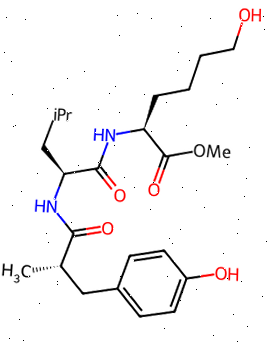 COC(=O)[C@H](CCCCO)NC(=O)[C@H](CC(C)C)NC(=O)[C@@H](C)Cc1ccc(O)cc1